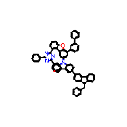 c1ccc(CC2c3ccccc3-c3cc(-c4ccc5c(c4)c4ccccc4n5-c4cc(-c5cccc(-c6ccccc6)c5)c5oc6cccc(-c7nc(-c8ccccc8)nc(-c8ccccc8)n7)c6c5c4)ccc32)cc1